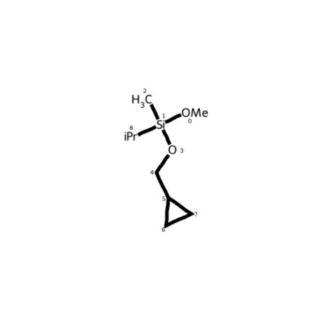 CO[Si](C)(OCC1CC1)C(C)C